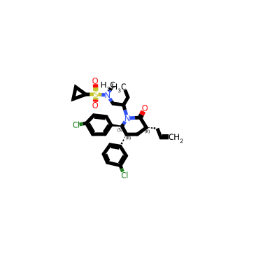 C=CC[C@@H]1C[C@H](c2cccc(Cl)c2)[C@@H](c2ccc(Cl)cc2)N(C(CC)CN(C)S(=O)(=O)C2CC2)C1=O